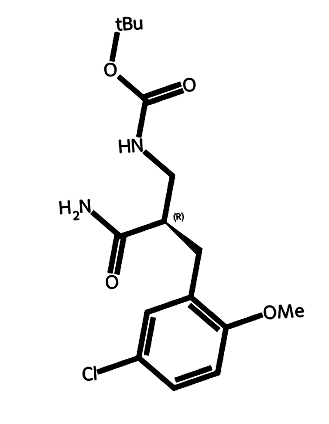 COc1ccc(Cl)cc1C[C@H](CNC(=O)OC(C)(C)C)C(N)=O